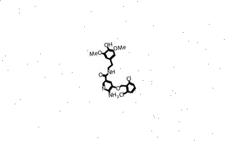 COc1cc(CCNC(=O)c2cnc(N)c(OCc3c(Cl)cccc3Cl)c2)cc(OC)c1O